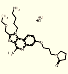 CCOCc1nc2c(N)nc3cc(OCCCN4CCCC4=O)ccc3c2n1CCCCN.Cl.Cl